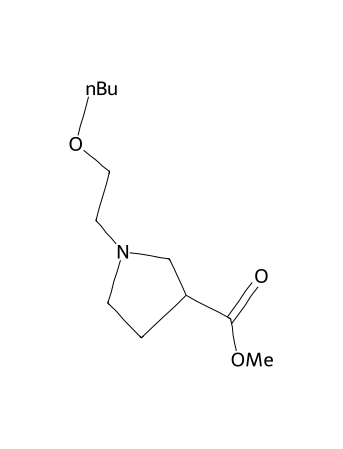 CCCCOCCN1CCC(C(=O)OC)C1